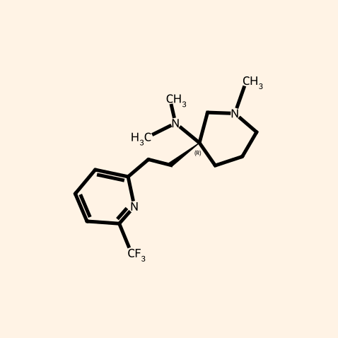 CN1CCC[C@](CCc2cccc(C(F)(F)F)n2)(N(C)C)C1